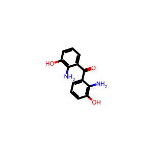 Nc1c(O)cccc1C(=O)c1cccc(O)c1N